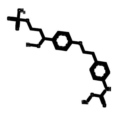 CCOC(CCOS(C)(=O)=O)c1ccc(OCCc2ccc(NC(=O)OC(C)(C)C)cc2)cc1